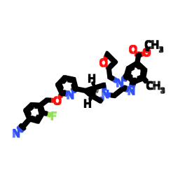 COC(=O)c1cc(C)c2nc(CN3C[C@@H]4C(c5cccc(OCc6ccc(C#N)cc6F)n5)[C@@H]4C3)n(CC3CCO3)c2c1